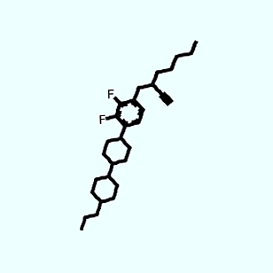 C#CC(CCCCC)Cc1ccc(C2CCC(C3CCC(CCC)CC3)CC2)c(F)c1F